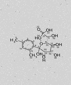 Cc1ccc(C2(O)O[C@H](C(O)P(=O)(O)O)[C@@H](O)[C@H](O)[C@@H]2O)c(C)c1